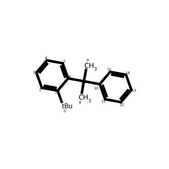 CC(C)(C)c1ccccc1C(C)(C)c1ccccc1